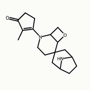 CC1=C(N2CCC3(CC4CCC(C3)N4)C3OCC32)CCC1=O